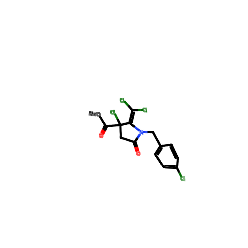 COC(=O)C1(Cl)CC(=O)N(Cc2ccc(Cl)cc2)C1=C(Cl)Cl